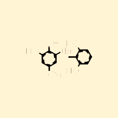 CC(C)(C)c1cc(O)c(O)c(C(C)(C)C)c1.Cc1c(O)cccc1O